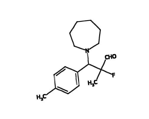 Cc1ccc(C(N2CCCCCC2)C(C)(F)C=O)cc1